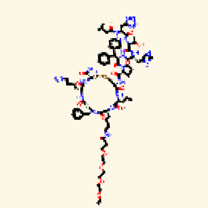 CCOCCOCCOCCOCCC(=O)NCCCC[C@@H]1NC(=O)[C@H]([C@@H](C)CC)NC(=O)[C@@H](NC(=O)[C@@H]2CCCN2C(=O)[C@@H](NC(=O)[C@H](Cc2cnc[nH]2)NC(=O)[C@@H](NC(=O)[C@H](CC2N=NN=N2)NC(=O)CC(C)C)[C@@H](C)O)C(c2ccccc2)c2ccccc2)CSSC[C@@H](C(N)=O)NC(=O)[C@@H](CCCCN)NC(=O)C[C@H](Cc2ccccc2)NC1=O